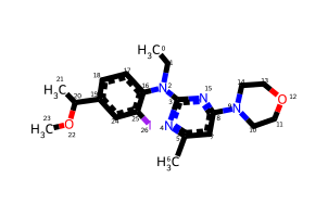 CCN(c1nc(C)cc(N2CCOCC2)n1)c1ccc(C(C)OC)cc1I